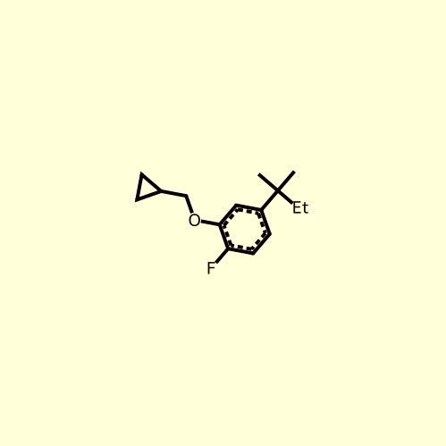 CCC(C)(C)c1ccc(F)c(OCC2CC2)c1